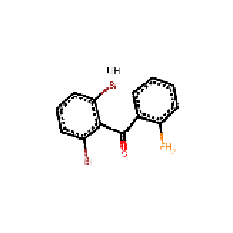 O=C(c1ccccc1P)c1c(Br)cccc1Br.[LiH]